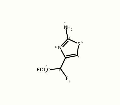 CCOC(=O)C(F)c1csc(N)n1